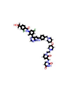 Cc1c(NC(=O)c2ccc(C(C)(C)O)cc2F)cc(F)cc1-c1ncnc2[nH]c(-c3ccc(CN4CCC(OC5CCN(CCn6cccc(CN7CCC(=O)NC7=O)c6=O)CC5)CC4)cc3)cc12